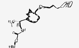 C[C@@H](NC(=O)OC(C)(C)C)c1ccc(OCCCC=O)cc1